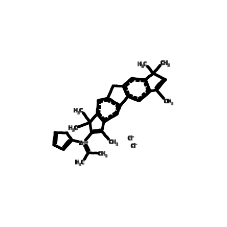 CC1=CC(C)(C)c2cc3c(cc21)-c1cc2c(cc1C3)C(C)(C)[C]([Zr+2]([C]1=CC=CC1)=[C](C)C)=C2C.[Cl-].[Cl-]